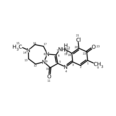 CC1=C/C(=N/c2c(N)n3n(c2=O)CCN(C)CC3)C(N)=C(Cl)C1=O